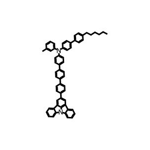 CCCCCCc1ccc(-c2ccc(N(c3ccc(-c4ccc(-c5ccc(-c6cc7c8ccccc8n8c9ccccc9c(c6)c78)cc5)cc4)cc3)c3cccc(C)c3)cc2)cc1